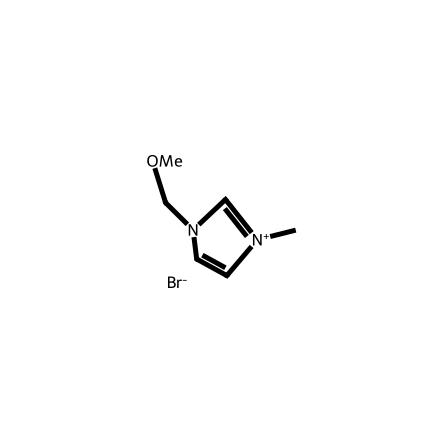 COCn1cc[n+](C)c1.[Br-]